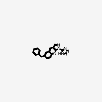 c1ccc(Cc2ccc3nc4c(cnn4-c4nnn[nH]4)cc3c2)cc1